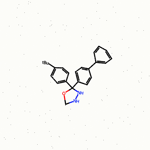 CC(C)(C)c1ccc(C2(c3ccc(-c4ccccc4)cc3)NN[CH]O2)cc1